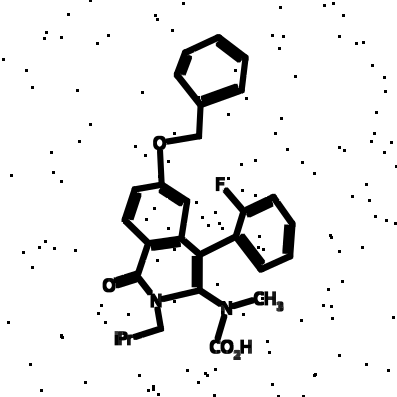 CC(C)Cn1c(N(C)C(=O)O)c(-c2ccccc2F)c2cc(OCc3ccccc3)ccc2c1=O